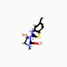 Cc1ccc2sc(N3C(=O)N(C)CC3O)nc2c1